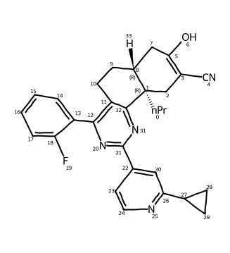 CCC[C@@]12CC(C#N)=C(O)C[C@H]1CCc1c(-c3ccccc3F)nc(-c3ccnc(C4CC4)c3)nc12